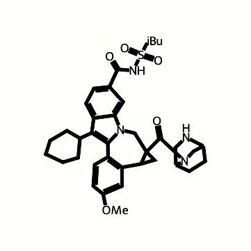 CCC(C)S(=O)(=O)NC(=O)c1ccc2c(C3CCCCC3)c3n(c2c1)CC1(C(=O)N2CC4CCC2CN4)CC1c1cc(OC)ccc1-3